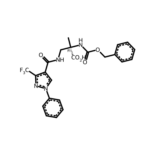 C[C@](CNC(=O)c1cn(-c2ccccc2)nc1C(F)(F)F)(NC(=O)OCc1ccccc1)C(=O)O